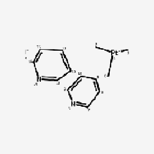 [CH3][Pt+]([CH3])[CH3].[I-].c1ccncc1.c1ccncc1